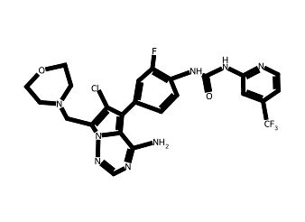 Nc1ncnn2c(CN3CCOCC3)c(Cl)c(-c3ccc(NC(=O)Nc4cc(C(F)(F)F)ccn4)c(F)c3)c12